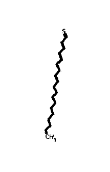 CCCCCCCCCCCCCCCCCCC=S